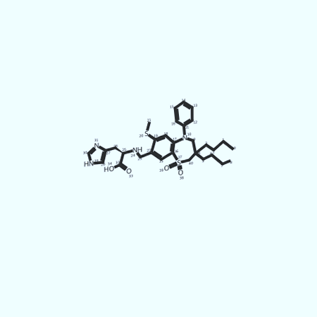 CCCCC1(CCCC)CN(c2ccccc2)c2cc(SC)c(CN[C@H](Cc3c[nH]cn3)C(=O)O)cc2S(=O)(=O)C1